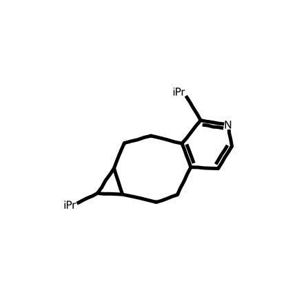 CC(C)c1nccc2c1CCC1C(CC2)C1C(C)C